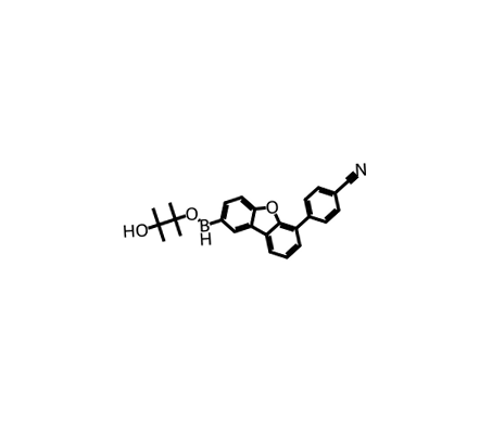 CC(C)(O)C(C)(C)OBc1ccc2oc3c(-c4ccc(C#N)cc4)cccc3c2c1